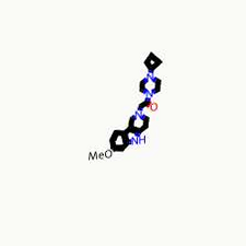 COc1ccc2c3c([nH]c2c1)CCN(CC(=O)N1CCN(C2CCC2)CC1)C3